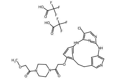 COCC(=O)N1CCN(C(=O)COc2ccc3cc2CCc2cncc(c2)Nc2ncc(Cl)c(n2)N3)CC1.O=C(O)C(F)(F)F.O=C(O)C(F)(F)F